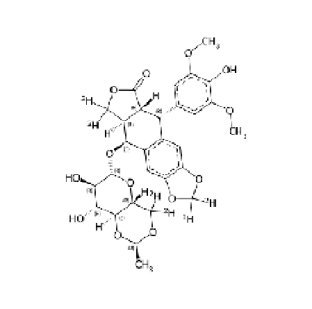 [2H]C1([2H])Oc2cc3c(cc2O1)[C@@H](O[C@@H]1O[C@H]2[C@@H](O[C@H](C)OC2([2H])[2H])[C@H](O)[C@H]1O)[C@@H]1[C@H](C(=O)OC1([2H])[2H])[C@@H]3c1cc(OC)c(O)c(OC)c1